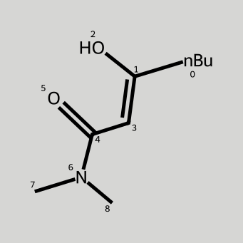 CCCC/C(O)=C/C(=O)N(C)C